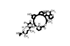 CCn1c(-c2cccnc2[C@H](C)OC)c2c3cc(ccc31)-c1cc(O)cc(c1)C[C@H](NC(=O)[C@H](C(C)C)N(C)C(=O)N(C)CCN(C)C(=O)[C@H]1CN1)C(=O)N1CCC[C@H](N1)C(=O)OCC(C)(C)C2